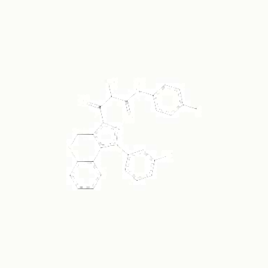 N#CC(C(=O)Nc1ccc(F)cc1)C(=O)c1nn(-c2cccc(Cl)c2)c2c1CSc1ccccc1-2